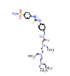 NS(=O)(=O)c1ccc(NC(=S)Nc2ccc(CNC(=O)CN(CCN(CCN(CC(=O)O)CC(=O)O)CC(=O)O)CC(=O)O)cc2)cc1